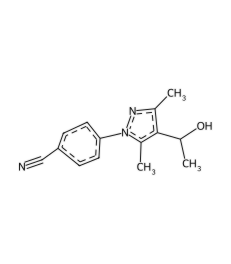 Cc1nn(-c2ccc(C#N)cc2)c(C)c1C(C)O